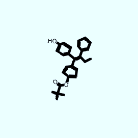 CC/C(=C(/c1ccc(O)cc1)c1ccc(OC(=O)C(C)(C)C)cc1)c1ccccc1